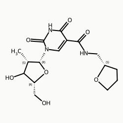 C[C@H]1C(O)[C@@H](CO)O[C@H]1n1cc(C(=O)NC[C@@H]2CCCO2)c(=O)[nH]c1=O